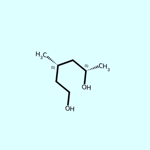 C[C@@H](CCO)C[C@H](C)O